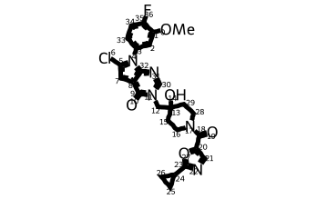 COc1cc(-n2c(Cl)cc3c(=O)n(CC4(O)CCN(C(=O)c5cnc(C6CC6)o5)CC4)cnc32)ccc1F